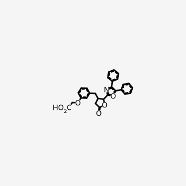 O=C(O)COc1cccc(CC2CC(=O)OC2c2nc(-c3ccccc3)c(-c3ccccc3)o2)c1